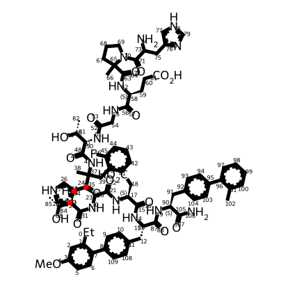 CCc1cc(OC)ccc1-c1ccc(C[C@H](NC(=O)[C@H](CC(=O)O)NC(=O)[C@H](Cc2c[nH]cn2)NC(=O)[C@@H](NC(=O)C(C)(Cc2ccccc2F)NC(=O)[C@@H](NC(=O)CNC(=O)[C@H](CCC(=O)O)NC(=O)C2(C)CCCN2C(=O)C(N)Cc2c[nH]cn2)[C@@H](C)O)[C@@H](C)O)C(=O)N[C@@H](Cc2ccc(-c3ccccc3C)cc2)C(N)=O)cc1